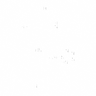 CCCCN1NN=NN1c1ccc2[nH]c(-c3cc(C)cc(C)c3)c(CCNCCCCc3cccnc3)c2c1